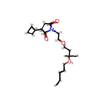 CCCCCOC(C)(C)CCOCCN1C(=O)CC(C2CCC2)C1=O